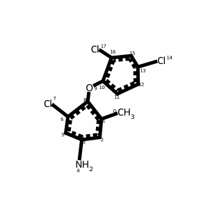 Cc1cc(N)cc(Cl)c1Oc1ccc(Cl)cc1Cl